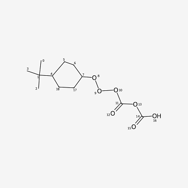 CC(C)(C)C1CCC(OOOC(=O)OC(=O)O)CC1